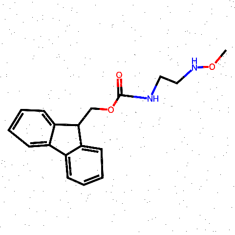 CONCCNC(=O)OCC1c2ccccc2-c2ccccc21